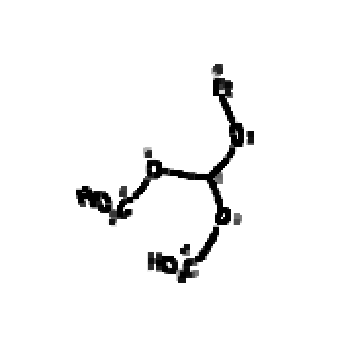 CCOC(OC(=O)O)OC(=O)O